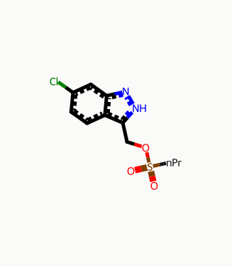 CCCS(=O)(=O)OCc1[nH]nc2cc(Cl)ccc12